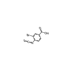 O=C(O)c1ccc(N=C=S)c(Br)c1